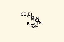 CCOC(=O)c1cnn(-c2cc(C[n+]3cc(Br)ccc3F)c(Br)cn2)c1